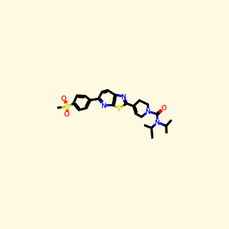 CC(C)N(C(=O)N1CC=C(c2nc3ccc(-c4ccc(S(C)(=O)=O)cc4)nc3s2)CC1)C(C)C